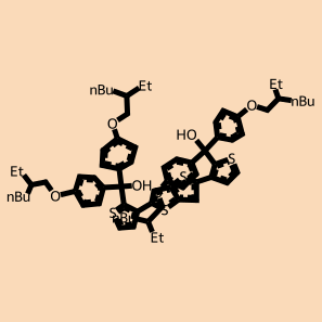 CCCCC(CC)COc1ccc(C(O)(c2ccc(OCC(CC)CCCC)cc2)c2sccc2-c2cc3sc(-c4ccsc4C(O)(c4ccc(OCC(CC)CCCC)cc4)c4ccc(OCC(CC)CCCC)cc4)cc3s2)cc1